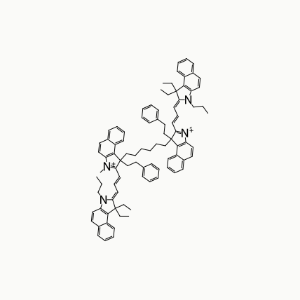 CCCN1C(=CC=CC2=[N+](C)c3ccc4ccccc4c3C2(CCCCCCC2(CCc3ccccc3)C(C=CC=C3N(CCC)c4ccc5ccccc5c4C3(CC)CC)=[N+](C)c3ccc4ccccc4c32)CCc2ccccc2)C(CC)(CC)c2c1ccc1ccccc21